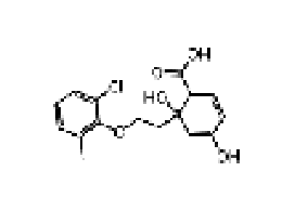 Cc1cccc(Cl)c1OCCC1(O)C=C(O)C=CC1C(=O)O